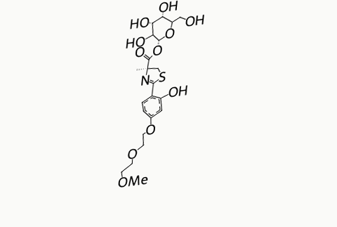 COCCOCCOc1ccc(C2=N[C@@](C)(C(=O)O[C@H]3OC(CO)[C@@H](O)[C@@H](O)C3O)CS2)c(O)c1